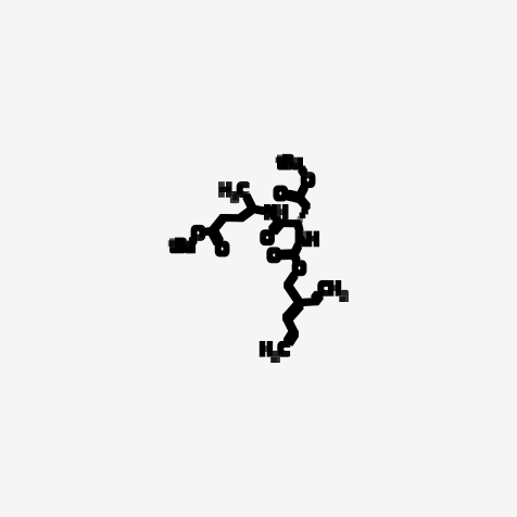 C=C/C=C(\C=C)COC(=O)N[C@@H](CC(=O)OC(C)(C)C)C(=O)NC(C)CCC(=O)OC(C)(C)C